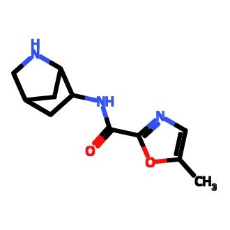 Cc1cnc(C(=O)NC2CC3CNC2C3)o1